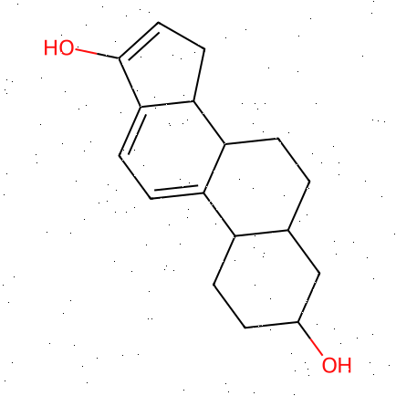 OC1=CCC2C1=CC=C1C3CCC(O)CC3CCC12